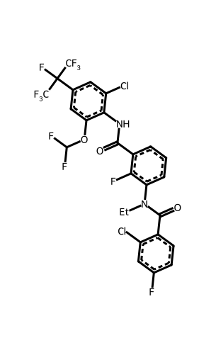 CCN(C(=O)c1ccc(F)cc1Cl)c1cccc(C(=O)Nc2c(Cl)cc(C(F)(C(F)(F)F)C(F)(F)F)cc2OC(F)F)c1F